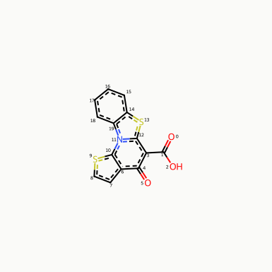 O=C(O)c1c(=O)c2ccsc2n2c1sc1ccccc12